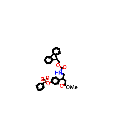 COC(=O)CC(CNC(=O)OCC1c2ccccc2-c2ccccc21)c1ccc(OS(=O)(=O)c2ccccc2)cc1